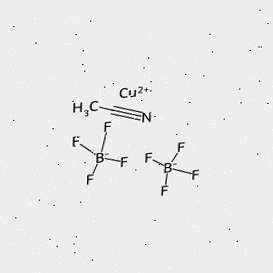 CC#N.F[B-](F)(F)F.F[B-](F)(F)F.[Cu+2]